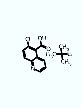 O=C(O)c1c(Cl)ccc2ncccc12.[Li][C](C)(C)C